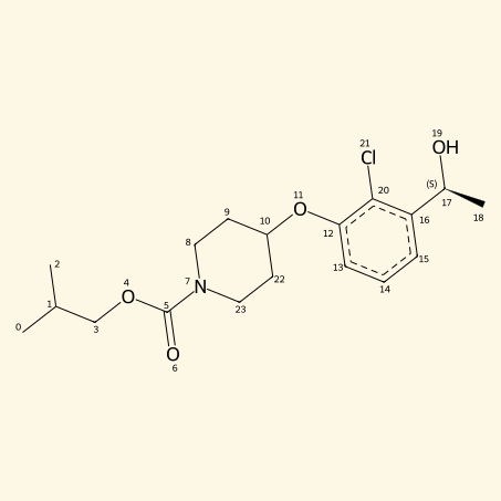 CC(C)COC(=O)N1CCC(Oc2cccc([C@H](C)O)c2Cl)CC1